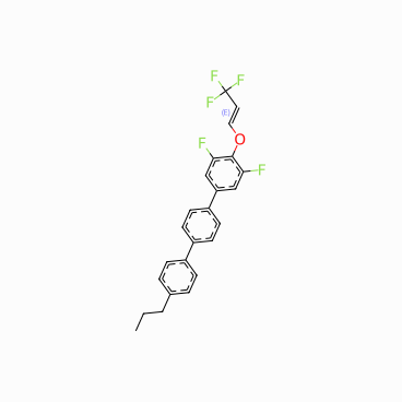 CCCc1ccc(-c2ccc(-c3cc(F)c(O/C=C/C(F)(F)F)c(F)c3)cc2)cc1